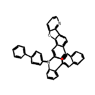 c1ccc(-c2ccc(N(c3ccc4ccc5c6ncccc6oc5c4c3)c3ccccc3-c3ccc4ccccc4c3)cc2)cc1